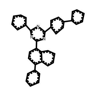 c1ccc(-c2ccc(-c3nc(-c4ccccc4)nc(-c4ccc(-c5ccccc5)c5ccccc45)n3)cc2)cc1